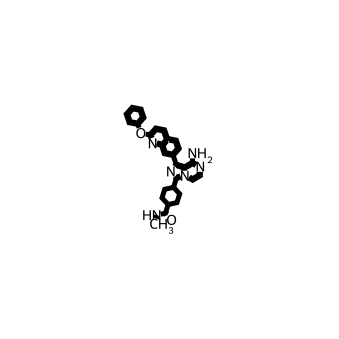 CNC(=O)C1CCC(c2nc(-c3ccc4ccc(Oc5ccccc5)nc4c3)c3c(N)nccn23)CC1